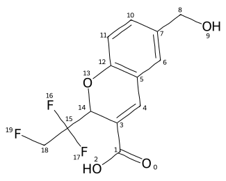 O=C(O)C1=Cc2cc(CO)ccc2OC1C(F)(F)CF